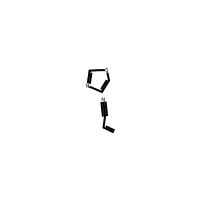 C=CC#N.c1cscn1